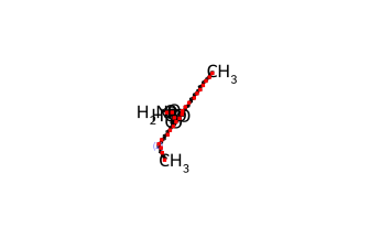 CCCCCC/C=C\CCCCCCCCCC(=O)O[C@H](COC(=O)CCCCCCCCCCCCCCCCCCCCC)COP(=O)(O)OCCN